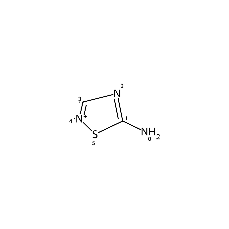 NC1=N[C]=[N+]S1